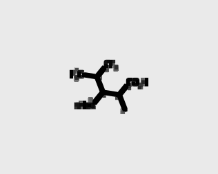 CCCCCCC(C(C)C(=O)O)C(C(F)(F)F)C(F)(F)F